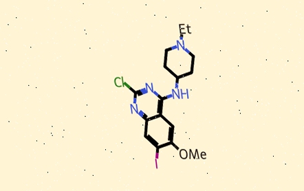 CCN1CCC(Nc2nc(Cl)nc3cc(I)c(OC)cc23)CC1